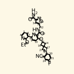 CCOc1ncccc1-c1ccc(OC2CC3(C2)CN(c2ccc(F)cc2C#N)C3)c(C(=O)NCc2cc(C(N)=O)no2)n1